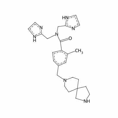 Cc1cc(CN2CCC3(CCNC3)CC2)ccc1C(=O)N(Cc1ncc[nH]1)Cc1ncc[nH]1